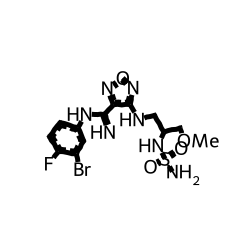 COCC(CNc1nonc1C(=N)Nc1ccc(F)c(Br)c1)NS(N)(=O)=O